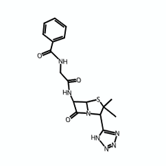 CC1(C)SC2C(NC(=O)CNC(=O)c3ccccc3)C(=O)N2C1c1nnn[nH]1